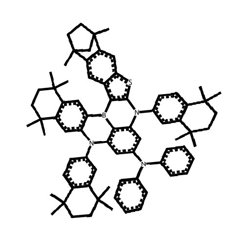 CC1(C)CCC(C)(C)c2cc(N3c4cc5c(cc4B4c6c3cc(N(c3ccccc3)c3ccccc3)cc6N(c3ccc6c(c3)C(C)(C)CCC6(C)C)c3sc6cc7c(cc6c34)C3(C)CCC7(C)C3)C(C)(C)CCC5(C)C)ccc21